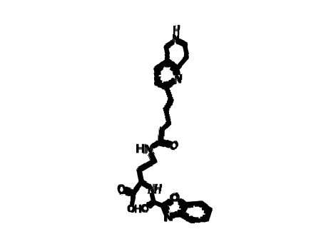 O=C(CCCCc1ccc2c(n1)CCNC2)NCCC(NC(=O)c1nc2ccccc2o1)C(=O)O